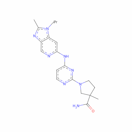 Cc1nc2cnc(Nc3ccnc(N4CCC(C)(C(N)=O)C4)n3)cc2n1C(C)C